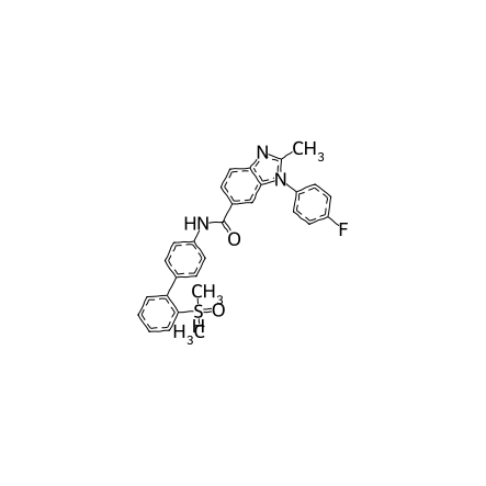 Cc1nc2ccc(C(=O)Nc3ccc(-c4ccccc4[SH](C)(C)=O)cc3)cc2n1-c1ccc(F)cc1